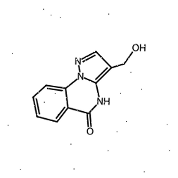 O=c1[nH]c2c(CO)cnn2c2ccccc12